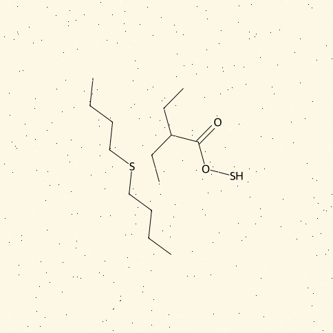 CCC(CC)C(=O)OS.CCCCSCCCC